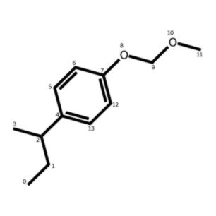 CCC(C)c1ccc(OCOC)cc1